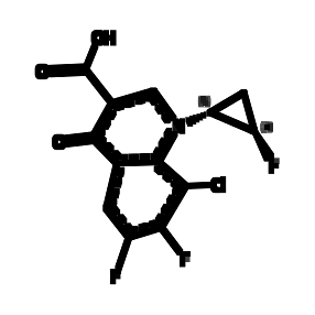 O=C(O)c1cn([C@@H]2C[C@H]2F)c2c(Cl)c(F)c(F)cc2c1=O